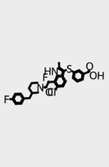 Cc1[nH]c2c(C(F)C(=O)N3CCCC(Cc4ccc(F)cc4)C3)c(Cl)ccc2c1Sc1cccc(C(=O)O)c1